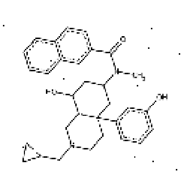 CN(C(=O)c1ccc2ccccc2c1)C1CC(O)C2CN(CC3CC3)CCC2(c2cccc(O)c2)C1